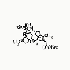 COC(=O)CCC(C)C1CCC2C3C[C@H](O[Si](C)(C)C(C)(C)C)[C@@H]4C[C@H](C)CCC4(C)C3CCC12C